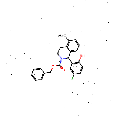 COc1cccc2c1CCN(C(=O)OCc1ccccc1)C2c1cc(F)ccc1O